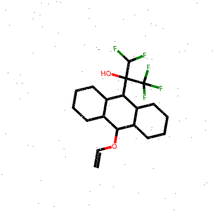 C=COC1C2CCCCC2C(C(O)(C(F)F)C(F)(F)F)C2CCCCC21